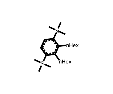 CCCCCCc1c([Si](C)(C)C)ccc([Si](C)(C)C)c1CCCCCC